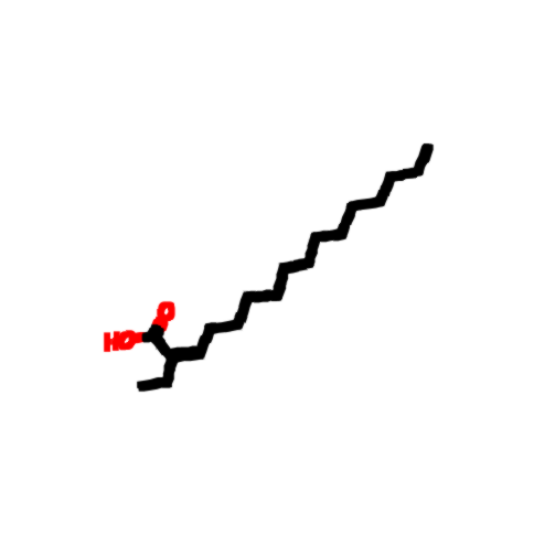 CCCCCCCCCCCCCC=C(CC)C(=O)O